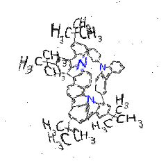 CC(C)(C)c1ccc2c(c1)c1cc(C(C)(C)C)cc3c4c5ccc6c7cc(C(C)(C)C)cc8c9cc(C(C)(C)C)cc(-c%10ccc%11c(c%10)c%10ccccc%10n%11-c%10ccccc%10)c9n(c6c5ccc4n2c13)c87